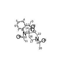 CC(=O)c1ccccc1N(C(C)=O)C1(C=O)CCN(C(C)=O)CC1